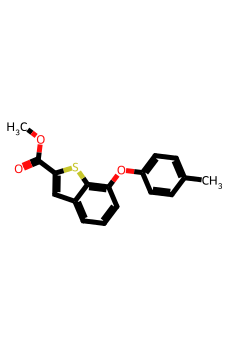 COC(=O)c1cc2cccc(Oc3ccc(C)cc3)c2s1